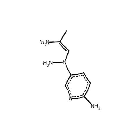 C/C(N)=C/N(N)c1ccc(N)nc1